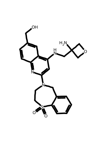 NC1(CNc2cc(N3CCS(=O)(=O)c4ccccc4C3)nc3ccc(CO)cc23)COC1